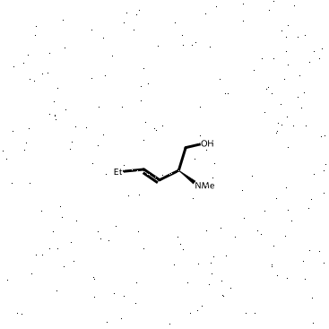 CC/C=C/[C@@H](CO)NC